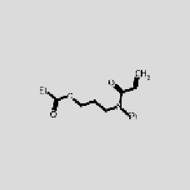 C=CC(=O)N(CCCOC(=O)CC)C(C)C